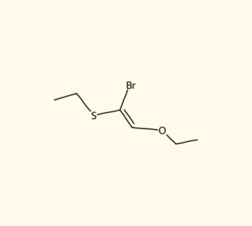 CCOC=C(Br)SCC